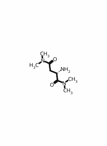 CN(C)C(=O)C[C@H](N)C(=O)N(C)C